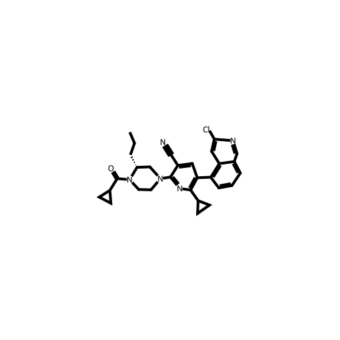 CCC[C@@H]1CN(c2nc(C3CC3)c(-c3cccc4cnc(Cl)cc34)cc2C#N)CCN1C(=O)C1CC1